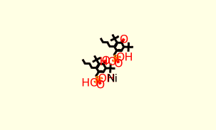 CCCCC1=C(C(C)(C)C)C(=O)C(C(C)(C)C)C=C1CP(=O)(O)O.CCCCC1=C(C(C)(C)C)C(=O)C(C(C)(C)C)C=C1CP(=O)(O)O.[Ni]